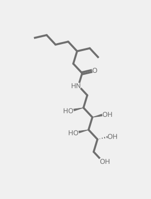 CCCCC(CC)CC(=O)NC[C@H](O)[C@@H](O)[C@H](O)[C@H](O)CO